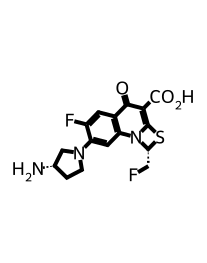 N[C@H]1CCN(c2cc3c(cc2F)c(=O)c(C(=O)O)c2n3[C@@H](CF)S2)C1